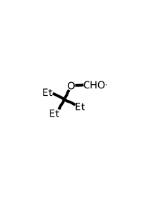 CCC(CC)(CC)O[C]=O